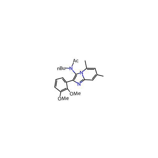 CCCCN(C(C)=O)c1c(-c2cccc(OC)c2OC)nc2cc(C)cc(C)n12